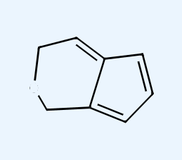 C1=CC2=CCOCC2=C1